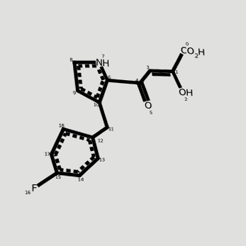 O=C(O)C(O)=CC(=O)c1[nH]ccc1Cc1ccc(F)cc1